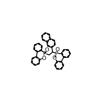 O=P1(CC(c2ccc3ccccc3c2)P2(=O)Oc3ccccc3-c3ccccc32)Oc2ccccc2-c2ccccc21